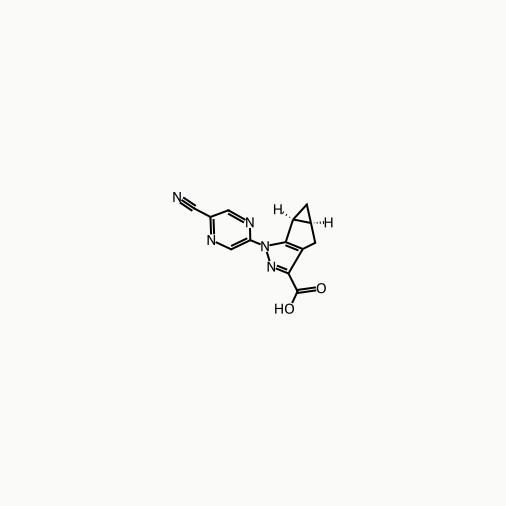 N#Cc1cnc(-n2nc(C(=O)O)c3c2[C@H]2C[C@H]2C3)cn1